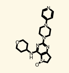 [O-][S+]1CCc2nc(N3CCN(c4ccncc4)CC3)nc(NC3CCOCC3)c21